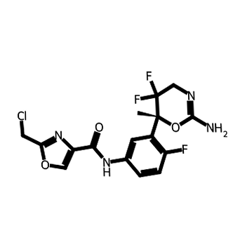 C[C@]1(c2cc(NC(=O)c3coc(CCl)n3)ccc2F)OC(N)=NCC1(F)F